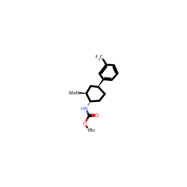 CN[C@H]1C[C@@H](c2cccc(C(F)(F)F)c2)CC[C@@H]1NC(=O)OC(C)(C)C